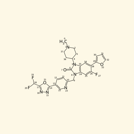 CN1CCC(n2c(=O)n(Cc3ccc(-c4nnc(C(F)F)o4)cn3)c3cc(F)c(-c4ccco4)cc32)CC1